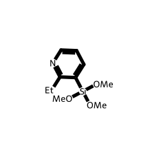 CCc1ncccc1[Si](OC)(OC)OC